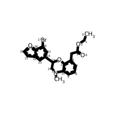 CCOC(=O)Cc1cccc2c1OC(c1cc(Br)c3occc3c1)CN2C